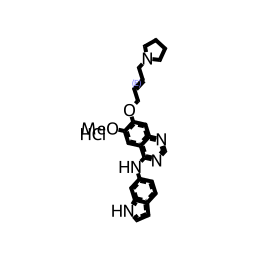 COc1cc2c(Nc3ccc4cc[nH]c4c3)ncnc2cc1OC/C=C/CN1CCCC1.Cl